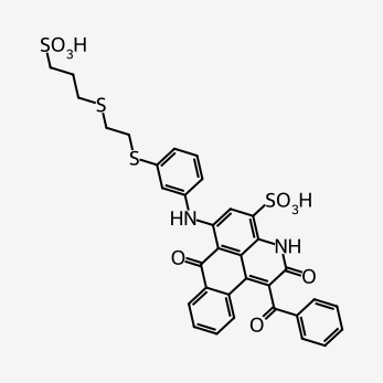 O=C(c1ccccc1)c1c2c3c(c(Nc4cccc(SCCSCCCS(=O)(=O)O)c4)cc(S(=O)(=O)O)c3[nH]c1=O)C(=O)c1ccccc1-2